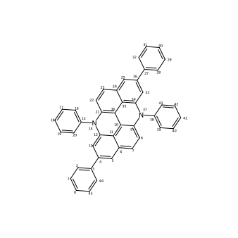 c1ccc(-c2cc3ccc4c5c3c(c2)n(-c2ccccc2)c2ccc3cc(-c6ccccc6)cc(c3c2-5)n4-c2ccccc2)cc1